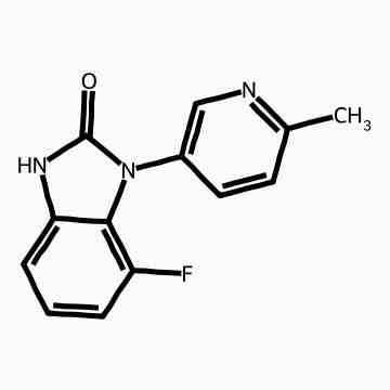 Cc1ccc(-n2c(=O)[nH]c3cccc(F)c32)cn1